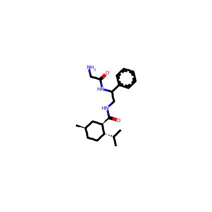 CC(C)[C@@H]1CC[C@@H](C)C[C@H]1C(=O)NCC(NC(=O)CN)c1ccccc1